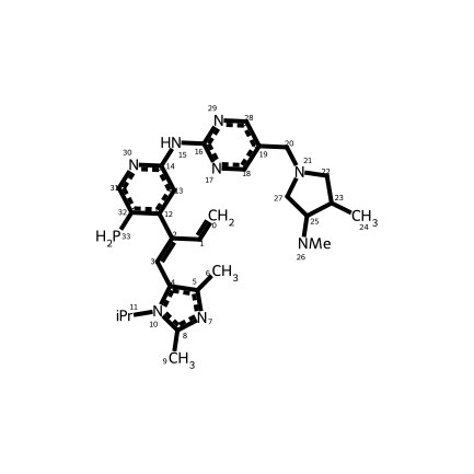 C=C/C(=C\c1c(C)nc(C)n1C(C)C)c1cc(Nc2ncc(CN3CC(C)C(NC)C3)cn2)ncc1P